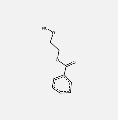 N#COCCOC(=O)c1ccccc1